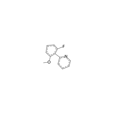 COc1cccc(F)c1-c1ccccn1